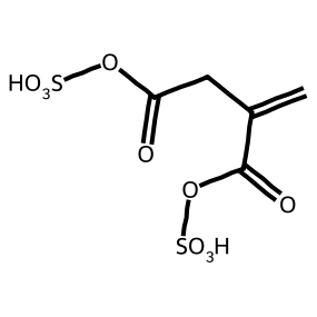 C=C(CC(=O)OS(=O)(=O)O)C(=O)OS(=O)(=O)O